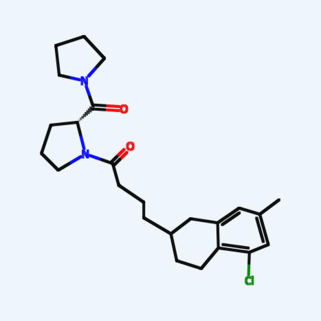 Cc1cc(Cl)c2c(c1)CC(CCCC(=O)N1CCC[C@@H]1C(=O)N1CCCC1)CC2